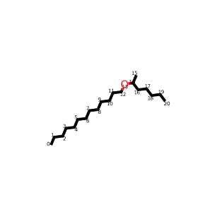 CCCCCCCCCCCCCOC(C)CCCCC